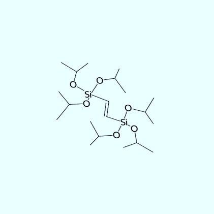 CC(C)O[Si](/C=C/[Si](OC(C)C)(OC(C)C)OC(C)C)(OC(C)C)OC(C)C